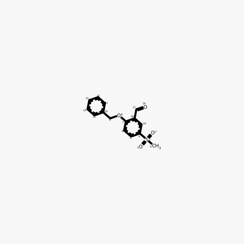 CS(=O)(=O)c1ccc(OCc2ccccc2)c(C=O)c1